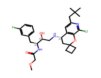 COCC(=O)N[C@@H](Cc1cccc(F)c1)[C@@H](O)CN[C@H]1CC2(CCC2)Oc2c1cc(CC(C)(C)C)nc2Cl